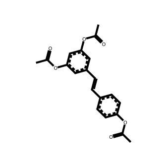 CC(=O)Oc1ccc(C=Cc2cc(OC(C)=O)cc(OC(C)=O)c2)cc1